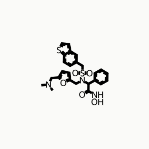 CN(C)Cc1ccc(CN(C(C(=O)NO)c2ccccc2)S(=O)(=O)Cc2ccc3sccc3c2)o1